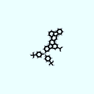 CC(C)c1cc2c3cc(N(c4ccc(C(C)(C)C)cc4)c4ccc(C(C)(C)C)cc4)ccc3c3cc4c(cc5c6ccccc6c6cccc4c65)c(c1)c23